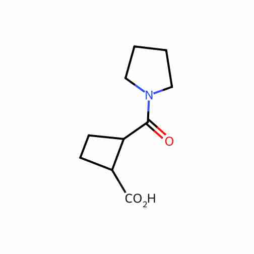 O=C(O)C1CCC1C(=O)N1CCCC1